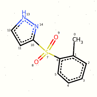 Cc1ccccc1S(=O)(=O)c1cc[nH]n1